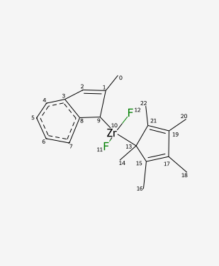 CC1=Cc2ccccc2[CH]1[Zr]([F])([F])[C]1(C)C(C)=C(C)C(C)=C1C